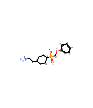 NCCC1CCC(P(=O)(O)COc2ccccc2)CC1